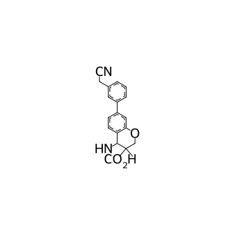 CC1(C)COc2cc(-c3cccc(CC#N)c3)ccc2C1NC(=O)O